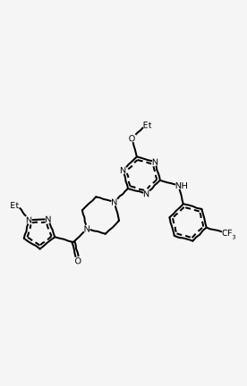 CCOc1nc(Nc2cccc(C(F)(F)F)c2)nc(N2CCN(C(=O)c3ccn(CC)n3)CC2)n1